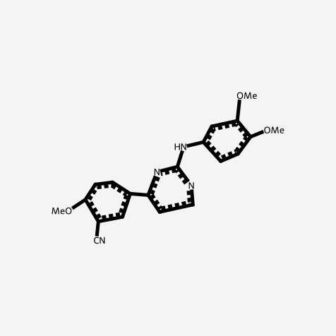 COc1ccc(-c2ccnc(Nc3ccc(OC)c(OC)c3)n2)cc1C#N